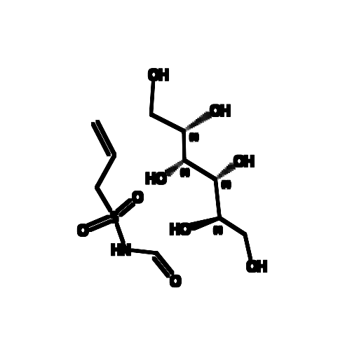 C=CCS(=O)(=O)NC=O.OC[C@@H](O)[C@@H](O)[C@H](O)[C@@H](O)CO